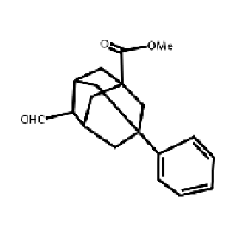 COC(=O)C12CC3CC(c4ccccc4)(CC(C1)C3C=O)C2